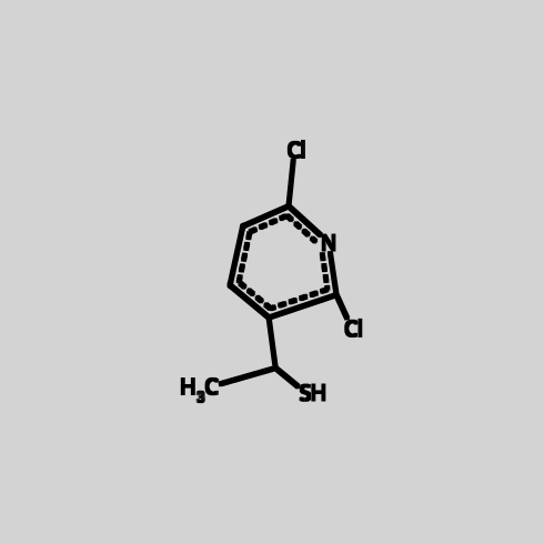 CC(S)c1ccc(Cl)nc1Cl